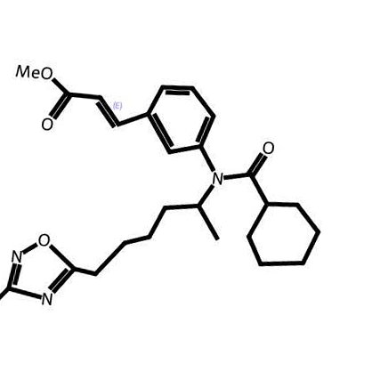 COC(=O)/C=C/c1cccc(N(C(=O)C2CCCCC2)C(C)CCCCc2nc(C)no2)c1